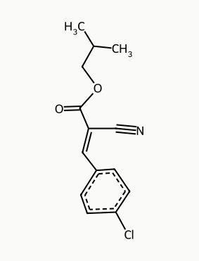 CC(C)COC(=O)/C(C#N)=C/c1ccc(Cl)cc1